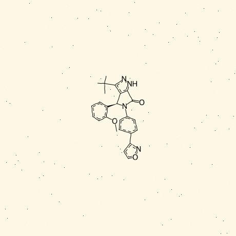 COc1ccccc1[C@H]1c2c(C(C)(C)C)n[nH]c2C(=O)N1c1ccc(-c2ccon2)cc1